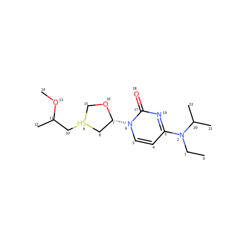 CCN(c1ccn([C@@H]2C[SH](CC(C)OC)CO2)c(=O)n1)C(C)C